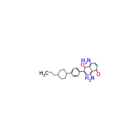 CCCC1CCC(c2ccc(C3=CC(N)=C4C(=O)C=CC(N)=C4C3=O)cc2)CC1